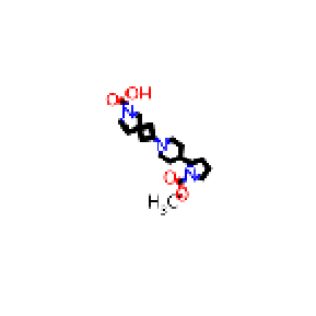 COC(=O)N1CCCC1C1CCN(C2CC3(CCN(C(=O)O)C3)C2)CC1